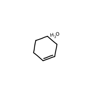 C1=CCCCC1.O